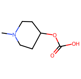 CN1CCC(OC(=O)O)CC1